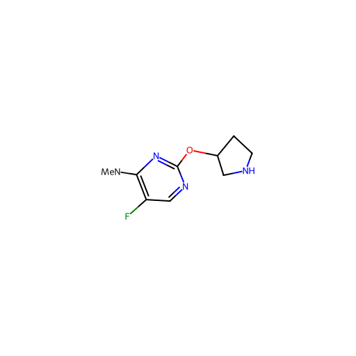 CNc1nc(OC2CCNC2)ncc1F